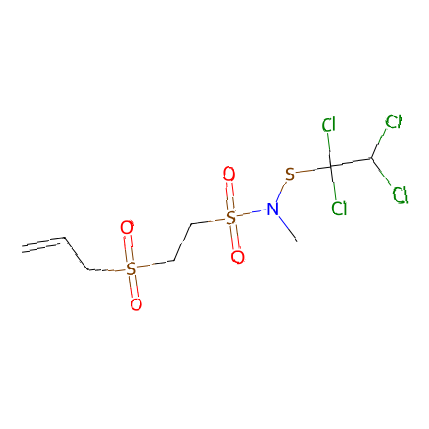 C=CCS(=O)(=O)CCS(=O)(=O)N(C)SC(Cl)(Cl)C(Cl)Cl